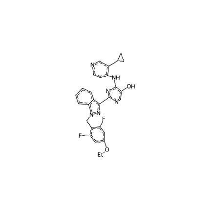 CCOc1cc(F)c(Cn2nc(-c3ncc(O)c(Nc4ccncc4C4CC4)n3)c3ccccc32)c(F)c1